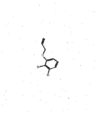 C=CCOc1cccc(Br)c1Br